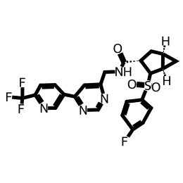 O=C(NCc1cc(-c2ccc(C(F)(F)F)nc2)ncn1)[C@@H]1C[C@H]2C[C@H]2C1S(=O)(=O)c1ccc(F)cc1